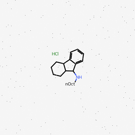 CCCCCCCCNC1c2ccccc2C2CCCCC21.Cl